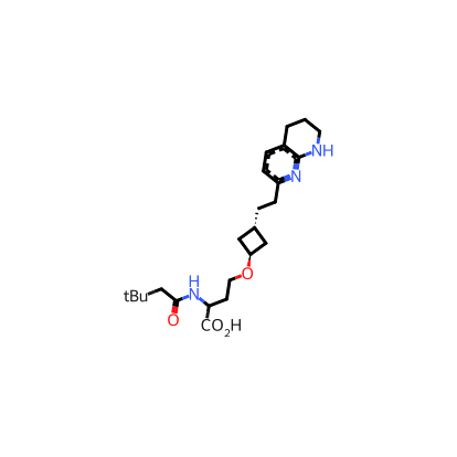 CC(C)(C)CC(=O)NC(CCO[C@H]1C[C@H](CCc2ccc3c(n2)NCCC3)C1)C(=O)O